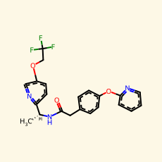 C[C@@H](NC(=O)Cc1ccc(Oc2ccccn2)cc1)c1ccc(OCC(F)(F)F)cn1